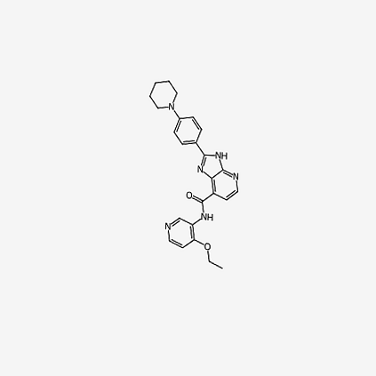 CCOc1ccncc1NC(=O)c1ccnc2[nH]c(-c3ccc(N4CCCCC4)cc3)nc12